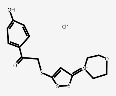 O=C(CSc1cc(=[N+]2CCOCC2)ss1)c1ccc(O)cc1.[Cl-]